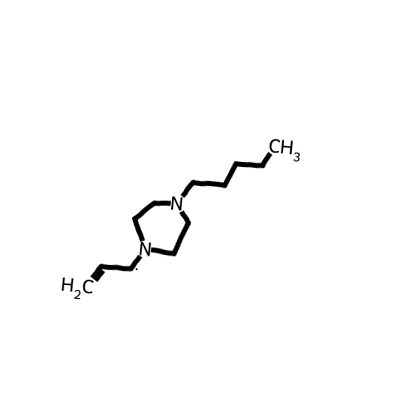 C=C[CH]N1CCN(CCCCC)CC1